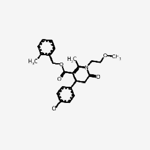 COCCN1C(=O)CC(c2ccc(Cl)cc2)C(C(=O)OCc2ccccc2C)=C1C